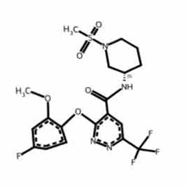 COc1cc(F)ccc1Oc1nnc(C(F)(F)F)cc1C(=O)N[C@H]1CCCN(S(C)(=O)=O)C1